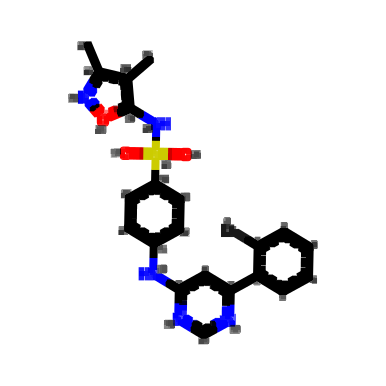 CCc1ccccc1-c1cc(Nc2ccc(S(=O)(=O)Nc3onc(C)c3C)cc2)ncn1